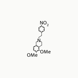 COc1ccc2c(c1OC)CCN(CCc1ccc([N+](=O)[O-])cc1)C2